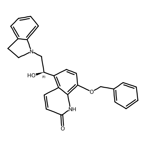 O=c1ccc2c([C@@H](O)CN3CCc4ccccc43)ccc(OCc3ccccc3)c2[nH]1